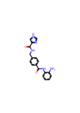 Nc1ccccc1NC(=O)c1ccc(CNC(=O)c2c[nH]cn2)cc1